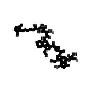 Cc1c[nH]c2c(OP(C)(=O)O)cc3c(c12)[C@H](CCl)CN3C(=O)C12CC(C(=O)N3C[C@@H](CCl)c4c3cc(NC(=O)[C@H](C)NC(=O)[C@@H](NC(=O)CCCCCN3C(=O)C=CC3=O)C(C)C)c3ccccc43)(C1)C2